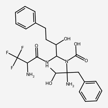 CC(O)C(N)(Cc1ccccc1)N(C(=O)O)C(NC(=O)C(N)C(F)(F)F)C(O)CCc1ccccc1